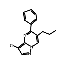 CCCc1cn2ncc(Cl)c2nc1-c1ccccc1